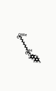 COC(=O)CCCCCCCCCCNC(=O)COc1cc(C)c(-c2c(C)cc(C)cc2C)cc1C